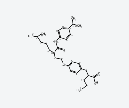 CCOC(Cc1ccc(OCCN(CCCC(C)C)C(=O)Nc2ccc(C(C)C)cc2)cc1)C(=O)O